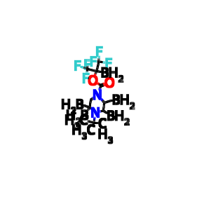 BC1C(B)N(C(C)(C)C)C(B)(B)CN1C(=O)OC(B)(C(F)(F)F)C(F)(F)F